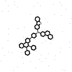 c1ccc(-c2c(-c3ccccc3)c3cc(-c4ccc(N(c5ccc6c(ccc7ccccc76)c5)c5ccc6c(c5)sc5ccccc56)cc4)ccc3c3ccccc23)cc1